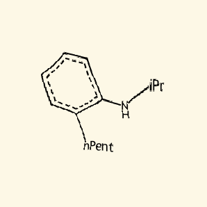 CCCCCc1ccccc1NC(C)C